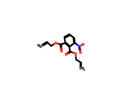 C=CCOC(=O)c1cccc([N+](=O)[O-])c1C(=O)OCC=C